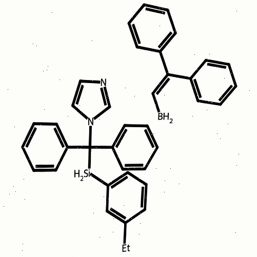 BC=C(c1ccccc1)c1ccccc1.CCc1cccc([SiH2]C(c2ccccc2)(c2ccccc2)n2ccnc2)c1